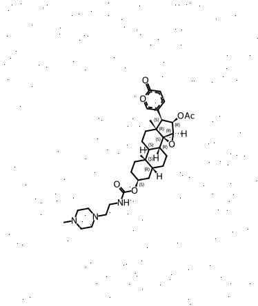 CC(=O)O[C@H]1[C@H]2O[C@]23[C@@H]2CC[C@@H]4C[C@@H](OC(=O)NCCN5CCN(C)CC5)CC[C@]4(C)[C@H]2CC[C@]3(C)[C@H]1c1ccc(=O)oc1